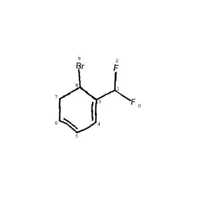 FC(F)C1=CC=CCC1Br